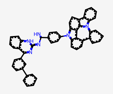 N=C(/N=c1/nc(-c2cccc(-c3ccccc3)c2)c2ccccc2[nH]1)c1ccc(-n2c3cccc4c5ccccc5n5c6ccccc6c6ccc2c(c43)c65)cc1